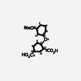 COc1cccc(Oc2ccc(C(=O)O)cc2C(=O)O)c1